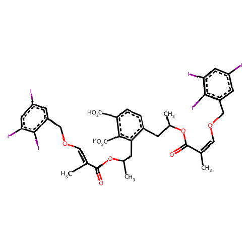 CC(=COCc1cc(I)cc(I)c1I)C(=O)OC(C)Cc1ccc(C(=O)O)c(C(=O)O)c1CC(C)OC(=O)C(C)=COCc1cc(I)cc(I)c1I